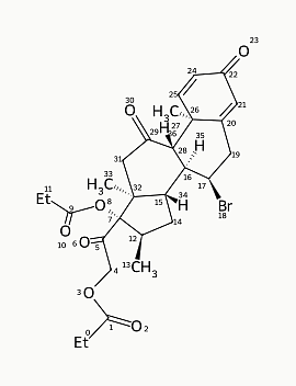 CCC(=O)OCC(=O)[C@]1(OC(=O)CC)[C@H](C)C[C@H]2[C@@H]3[C@H](Br)CC4=CC(=O)C=C[C@]4(C)[C@H]3C(=O)C[C@@]21C